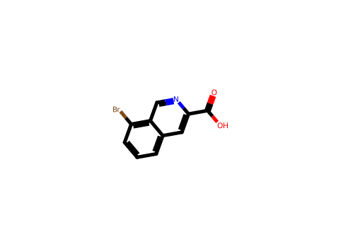 O=C(O)c1cc2cccc(Br)c2cn1